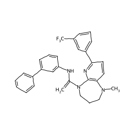 C=C(Nc1cccc(-c2ccccc2)c1)N1CCCN(C)c2ccc(-c3cccc(C(F)(F)F)c3)nc21